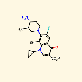 CCc1c(N2CC[C@@H](N)[C@H](C)C2)c(F)cc2c(=O)c(C(=O)O)cn(C3CC3)c12